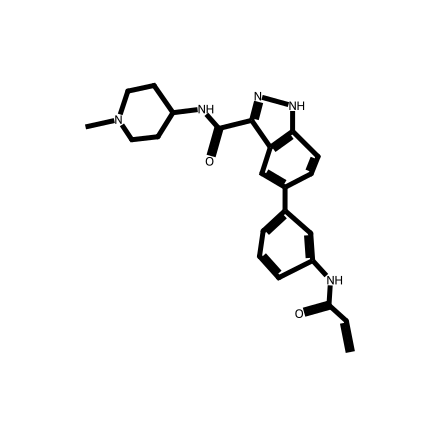 C=CC(=O)Nc1cccc(-c2ccc3[nH]nc(C(=O)NC4CCN(C)CC4)c3c2)c1